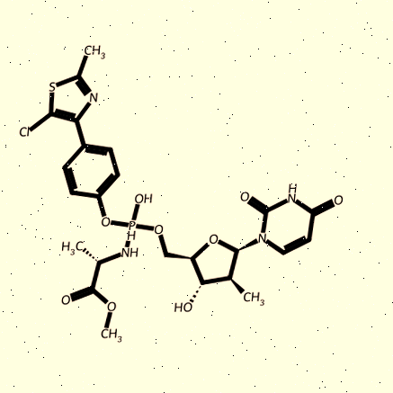 COC(=O)[C@H](C)N[PH](O)(OC[C@H]1O[C@@H](n2ccc(=O)[nH]c2=O)[C@@H](C)[C@@H]1O)Oc1ccc(-c2nc(C)sc2Cl)cc1